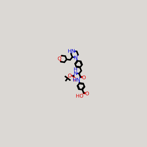 CC(C)(C)OC(=O)NC(Cc1ccc(N2CCNCC2CC2CCOCC2)cc1)C(=O)Nc1ccc(C(=O)O)cc1